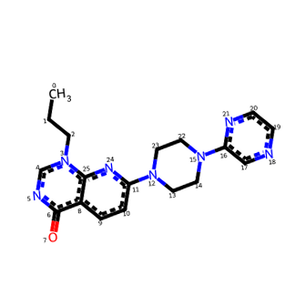 CCCn1cnc(=O)c2ccc(N3CCN(c4cnccn4)CC3)nc21